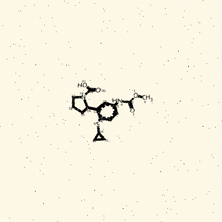 COC(=O)Nc1ccc(SC2CC2)c(C2CCCN2C(=O)O)c1